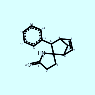 O=C1CCC2(N1)C1C=CC(C1)C2c1ccccc1